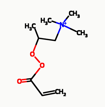 C=CC(=O)OOC(C)C[N+](C)(C)C